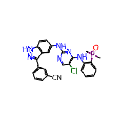 CP(C)(=O)c1ccccc1Nc1nc(Nc2ccc3[nH]nc(-c4cccc(C#N)c4)c3c2)ncc1Cl